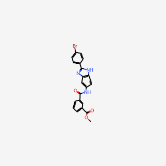 COC(=O)c1cccc(C(=O)Nc2ccc3[nH]c(-c4ccc(Br)cc4)nc3c2)c1